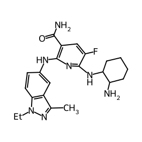 CCn1nc(C)c2cc(Nc3nc(NC4CCCCC4N)c(F)cc3C(N)=O)ccc21